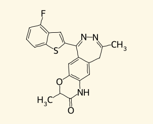 CC1=NN=C(c2cc3c(F)cccc3s2)c2cc3c(cc2C1)NC(=O)C(C)O3